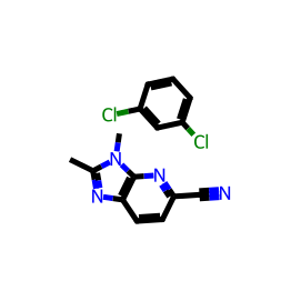 Cc1nc2ccc(C#N)nc2n1C.Clc1cccc(Cl)c1